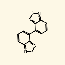 c1cc(-c2cccc3nsnc23)c2nsnc2c1